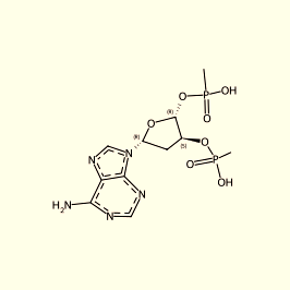 CP(=O)(O)O[C@H]1O[C@@H](n2cnc3c(N)ncnc32)C[C@@H]1OP(C)(=O)O